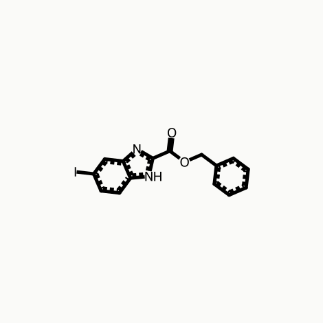 O=C(OCc1ccccc1)c1nc2cc(I)ccc2[nH]1